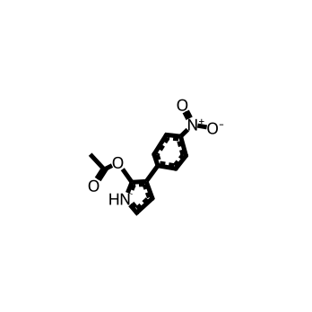 CC(=O)Oc1[nH]ccc1-c1ccc([N+](=O)[O-])cc1